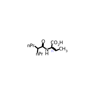 C/C=C(/NC(=O)C(CCC)CCC)C(=O)O